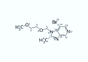 COCCOCn1c(C)nc2cncc(Br)c21